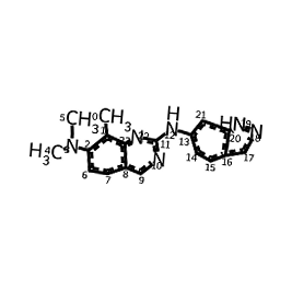 Cc1c(N(C)C)ccc2cnc(Nc3ccc4cn[nH]c4c3)nc12